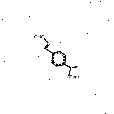 CCCCCC(C)c1ccc(C=CC=O)cc1